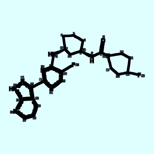 O=C(N[C@@H]1CCC[C@H](Nc2nc(-c3n[nH]c4ncccc34)ncc2F)C1)N1CCC(F)CC1